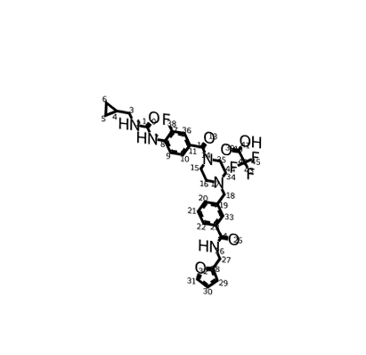 O=C(NCC1CC1)Nc1ccc(C(=O)N2CCN(Cc3cccc(C(=O)NCc4ccco4)c3)CC2)cc1F.O=C(O)C(F)(F)F